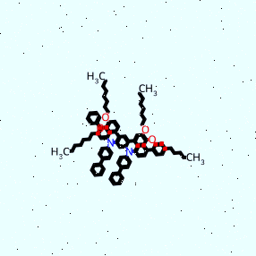 CCCCCCCCOc1ccc(-c2cc(-c3ccc(OCCCCCCCC)c(OCCCCCCCC)c3)c(N(c3ccc(-c4ccccc4)cc3)c3ccc(-c4ccccc4)cc3)cc2N(c2ccc(-c3ccccc3)cc2)c2ccc(-c3ccccc3)cc2)cc1OCCCCCCCC